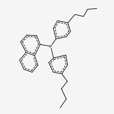 CCCCc1ccc(P(c2ccc(CCCC)cc2)c2cccc3ccccc23)cc1